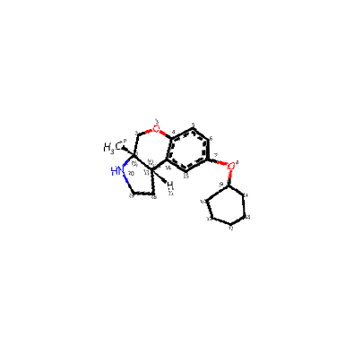 C[C@@]12COc3ccc(OC4CCCCC4)cc3[C@@H]1CCN2